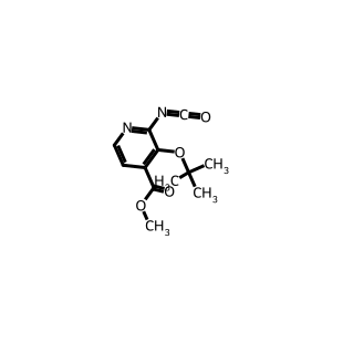 COC(=O)c1ccnc(N=C=O)c1OC(C)(C)C